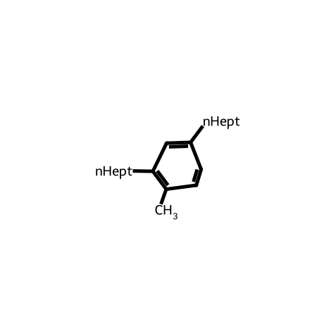 CCCCCCCc1ccc(C)c(CCCCCCC)c1